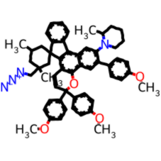 COc1ccc(-c2cc3c4c(c5c(c3cc2N2CCCCC2C)-c2ccccc2C52CC(C)CC(C)(CN=[N+]=[N-])C2)C=CC(c2ccc(OC)cc2)(c2ccc(OC)cc2)O4)cc1